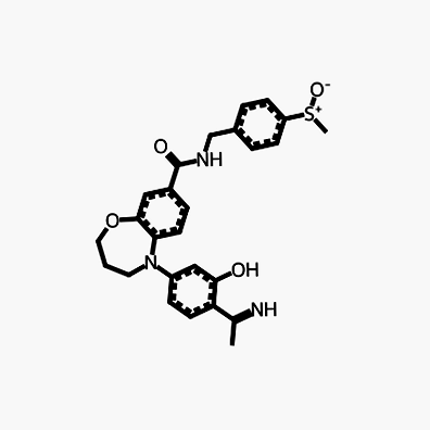 CC(=N)c1ccc(N2CCCOc3cc(C(=O)NCc4ccc([S+](C)[O-])cc4)ccc32)cc1O